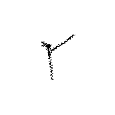 CCCCCCCCC=CCCCCCCCCOCC(COS(=O)(=O)NCCN(CC)CC)OCCCCCCCCC=CCCCCCCCC